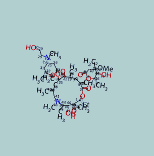 CC[C@H]1OC(=O)[C@H](C)[C@@H](O[C@H]2C[C@@](C)(OC)[C@@H](O)[C@H](C)O2)[C@H](C)[C@@H](O[C@H]2C[C@@H](N(C)CCO)C[C@@H](C)O2)[C@](C)(O)C[C@@H](C)CN(C)[C@H](C)[C@@H](O)[C@]1(C)O